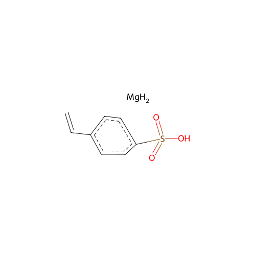 C=Cc1ccc(S(=O)(=O)O)cc1.[MgH2]